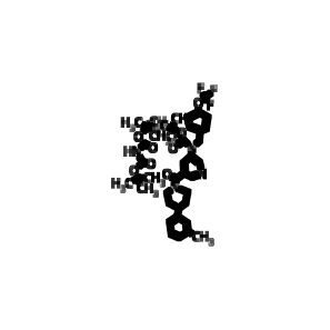 CC(C)(C)OC(=O)NC(=O)OC(C)(C)C.Cc1cccc(C2CCN(C(=O)c3cncc(N(Cc4ccc(OC(F)(F)F)cc4)C(=O)OC(C)(C)C)c3)CC2)c1